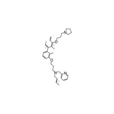 C=C/C(OCCCN1CCCC1)=C(C)\C(=C/C)c1cccc(OCCCN(C/C=C/C)Cc2ccccn2)c1C